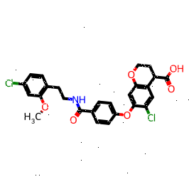 COc1cc(Cl)ccc1CCNC(=O)c1ccc(Oc2cc3c(cc2Cl)C(C(=O)O)CCO3)cc1